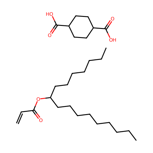 C=CC(=O)OC(CCCCCCC)CCCCCCCCC.O=C(O)C1CCC(C(=O)O)CC1